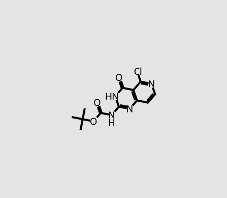 CC(C)(C)OC(=O)Nc1nc2ccnc(Cl)c2c(=O)[nH]1